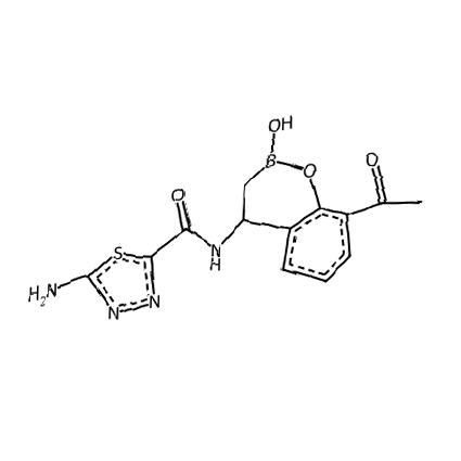 CC(=O)c1cccc2c1OB(O)CC2NC(=O)c1nnc(N)s1